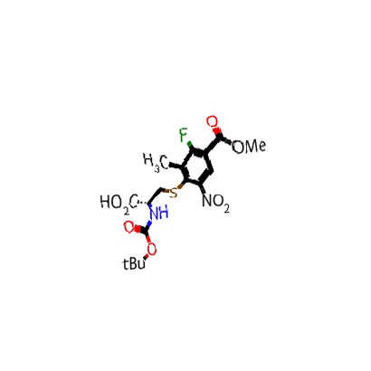 COC(=O)c1cc([N+](=O)[O-])c(SC[C@H](NC(=O)OC(C)(C)C)C(=O)O)c(C)c1F